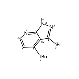 CC(C)c1n[nH]c2nccc(C(C)(C)C)c12